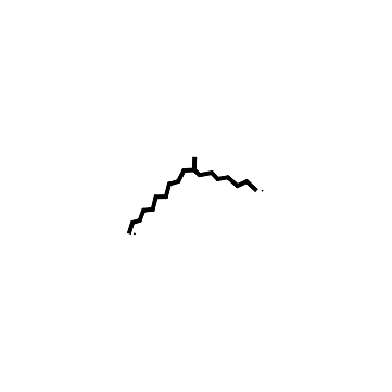 [CH2]CCCCCCCCCC(C)CCCCCC[CH2]